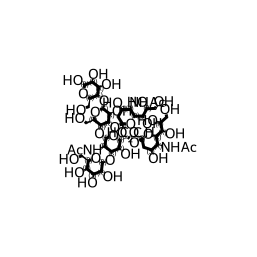 CC(=O)N[C@H]1[C@H](O[C@@H]2[C@H](O[C@]3(C(=O)O)C[C@H](O)[C@@H](NC(C)=O)[C@H]([C@H](O)[C@H](O)CO)O3)[C@@H](O)[C@H](O[C@H]3[C@H](O)[C@@H](O)[C@H](O)O[C@@H]3CO)O[C@@H]2CO)O[C@H](CO[C@]2(C(=O)O)C[C@H](O)[C@@H](NC(C)=O)[C@H]([C@H](O)[C@H](O)CO)O2)[C@H](O)[C@@H]1O[C@@H]1O[C@H](CO)[C@H](O)[C@H](O)[C@H]1O